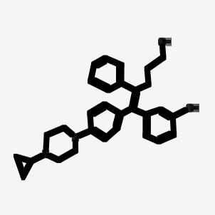 OCCC/C(=C(/c1ccc(N2CCN(C3CC3)CC2)cc1)c1cccc(O)c1)c1ccccc1